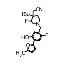 Cc1ccc(-c2cc(F)c(CN3CCC(CC#N)(C(C)(C)C)C(F)C3)cc2O)o1